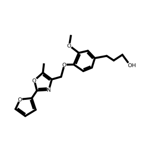 COc1cc(CCCO)ccc1OCc1nc(-c2ccco2)oc1C